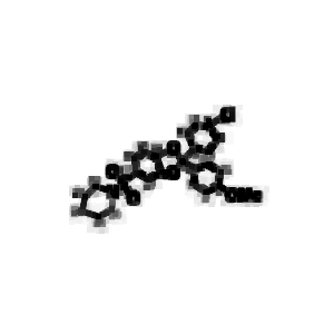 COc1ccc(C2(c3ccc(Cl)cc3)Oc3ccc(S(=O)(=O)N4CCCCC4)cc3O2)cc1